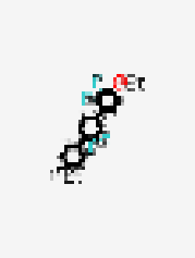 CCOc1ccc(C2CCC(C3CCC(C)(CC)CC3)C(F)(F)C2)c(F)c1F